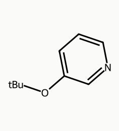 CC(C)(C)Oc1cccnc1